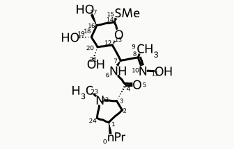 CCC[C@@H]1C[C@@H](C(=O)N[C@H](/C(C)=N/O)[C@H]2O[C@H](SC)[C@H](O)[C@@H](O)[C@H]2O)N(C)C1